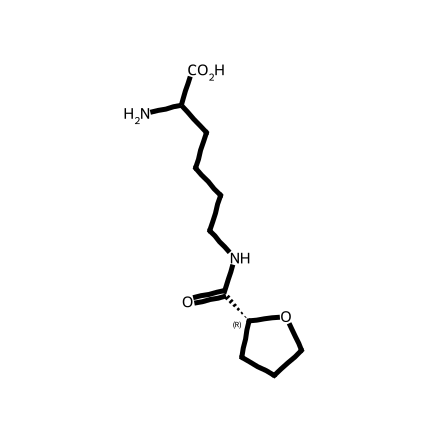 NC(CCCCNC(=O)[C@H]1CCCO1)C(=O)O